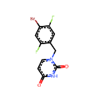 O=c1ccn(Cc2cc(F)c(Br)cc2F)c(=O)[nH]1